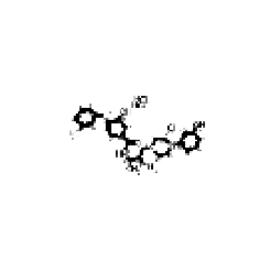 Cc1cccc(Oc2ccc(C(=O)N[C@@H](C)C(C)CN3CCN(c4cccc(O)c4)[C@@H](C)C3)cc2O)c1.Cl.Cl